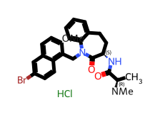 CN[C@H](C)C(=O)N[C@H]1CCc2ccccc2N(Cc2c(OC)ccc3cc(Br)ccc23)C1=O.Cl